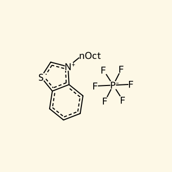 CCCCCCCC[n+]1csc2ccccc21.F[P-](F)(F)(F)(F)F